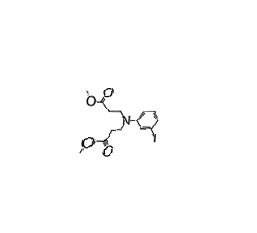 COC(=O)CCN(CCC(=O)OC)c1cccc(I)c1